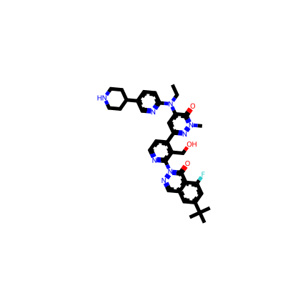 CCN(c1ccc(C2CCNCC2)cn1)c1cc(-c2ccnc(-n3ncc4cc(C(C)(C)C)cc(F)c4c3=O)c2CO)nn(C)c1=O